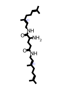 CC(C)=CCC/C(C)=C/CNC(=O)CCC(N)C(=O)NC/C=C(\C)CCC=C(C)C